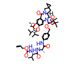 C=CCOC(=O)N[C@H](C(=O)N[C@@H](C)C(=O)Nc1ccc(COC(=O)N2c3cc(O[Si](C(C)C)(C(C)C)C(C)C)c(OC)cc3C(=O)N3CC4(CC4)C[C@H]3C2O[Si](C)(C)C(C)(C)C)cc1)C(C)C